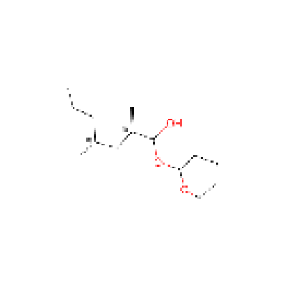 CCC[C@@H](C)C[C@@H](C)C(O)OC1CCCCO1